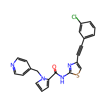 O=C(Nc1nc(C#Cc2cccc(Cl)c2)cs1)c1cccn1Cc1ccncc1